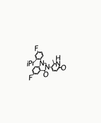 Cc1[nH]c(=O)ccc1N1CN(c2ccc(F)cc2C(C)C)c2ccc(F)cc2C1=O